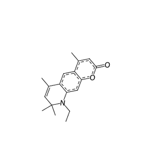 CCN1c2cc3oc(=O)cc(C)c3cc2C(C)=CC1(C)C